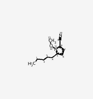 CCCCCc1ccc(C#N)n1OC